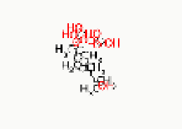 C[C@@H]1C2=CCC3[C@@](C)(CC[C@]4(C)C(CCCCC(C)(C)O)CC[C@@]34C)C2CC[C@@H]1O[C@@H]1O[C@H](CO[C@@H]2OC[C@@H](O)C[C@H]2O)C[C@H](O)[C@H]1O